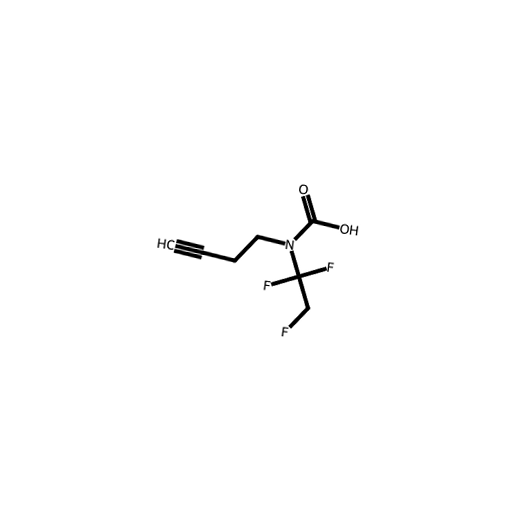 C#CCCN(C(=O)O)C(F)(F)CF